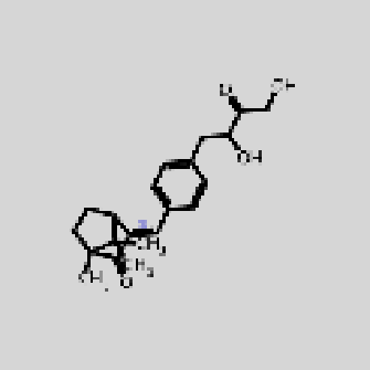 CC12CCC(/C(=C\c3ccc(CC(O)C(=O)CO)cc3)C1=O)C2(C)C